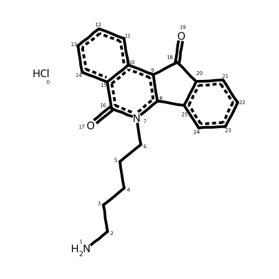 Cl.NCCCCCn1c2c(c3ccccc3c1=O)C(=O)c1ccccc1-2